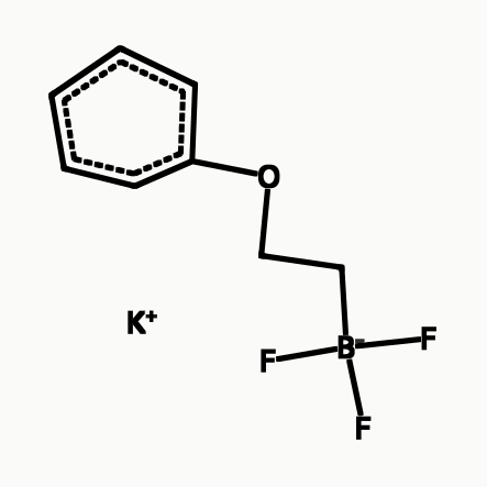 F[B-](F)(F)CCOc1ccccc1.[K+]